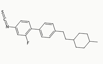 CC1CCC(CCc2ccc(-c3ccc(N=C=S)cc3F)cc2)CC1